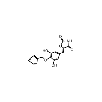 O=C1NC(=O)/C(=C/c2cc(O)c(OCc3ccccc3)c(O)c2)O1